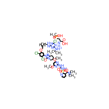 C#CCOc1cc(-n2nc3n(c2=O)CCCC3)c(Cl)cc1Cl.CCNc1nc(Cl)nc(NC(C)C)n1.COc1cc(OC)nc(NC(=O)NS(=O)(=O)c2ncccc2C(=O)N(C)C)n1.CP(=O)(O)CCC(N)C(=O)O